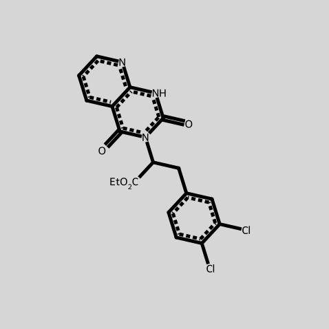 CCOC(=O)C(Cc1ccc(Cl)c(Cl)c1)n1c(=O)[nH]c2ncccc2c1=O